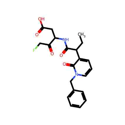 CCC(C(=O)NC(CC(=O)O)C(=O)CF)c1cccn(Cc2ccccc2)c1=O